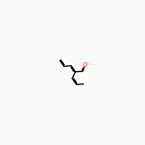 C=C/C=C(C=O)\C=C/C